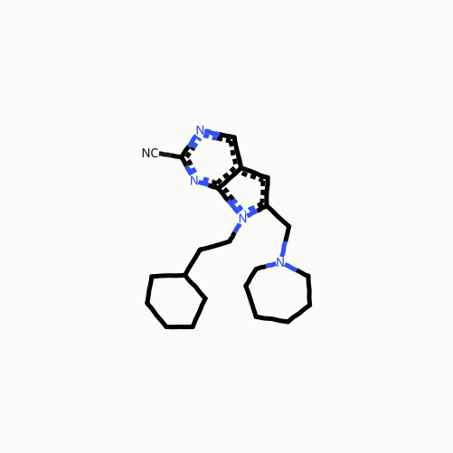 N#Cc1ncc2cc(CN3CCCCCC3)n(CCC3CCCCC3)c2n1